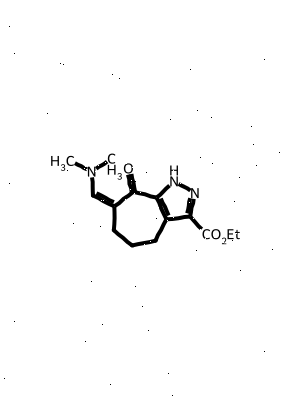 CCOC(=O)c1n[nH]c2c1CCCC(=CN(C)C)C2=O